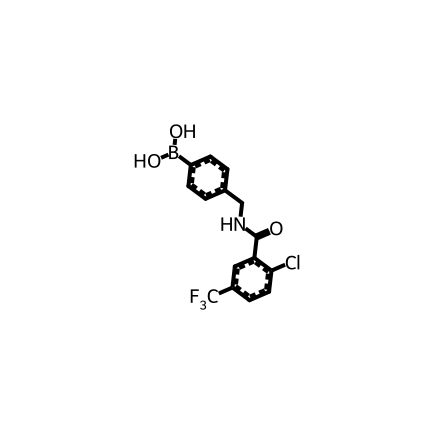 O=C(NCc1ccc(B(O)O)cc1)c1cc(C(F)(F)F)ccc1Cl